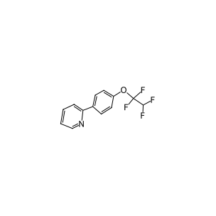 FC(F)C(F)(F)Oc1ccc(-c2ccccn2)cc1